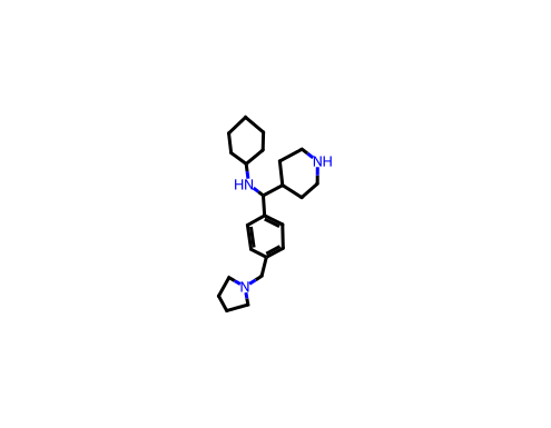 c1cc(C(NC2CCCCC2)C2CCNCC2)ccc1CN1CCCC1